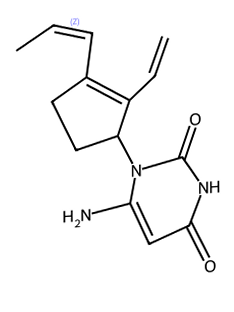 C=CC1=C(/C=C\C)CCC1n1c(N)cc(=O)[nH]c1=O